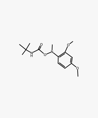 COc1ccc(N(C)OC(=O)NC(C)(C)C)c(OC)c1